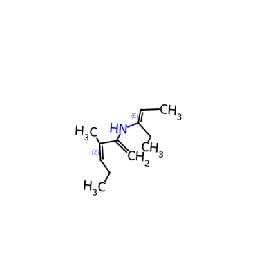 C=C(N/C(=C/C)CC)/C(C)=C\CC